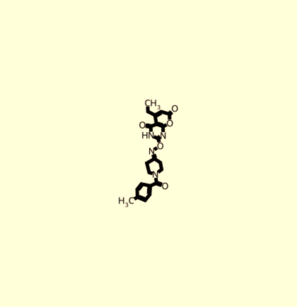 CCc1cc(=O)oc2nc(ON=C3CCN(C(=O)c4ccc(C)cc4)CC3)[nH]c(=O)c12